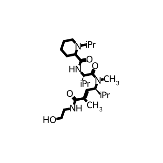 C/C(=C\[C@H](C(C)C)N(C)C(=O)[C@@H](NC(=O)C1CCCCN1C(C)C)C(C)C)C(=O)NCCO